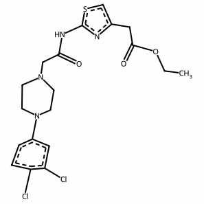 CCOC(=O)Cc1csc(NC(=O)CN2CCN(c3ccc(Cl)c(Cl)c3)CC2)n1